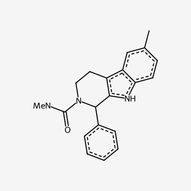 CNC(=O)N1CCc2c([nH]c3ccc(C)cc23)C1c1ccccc1